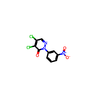 O=c1c(Cl)c(Cl)cnn1-c1cccc([N+](=O)[O-])c1